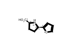 O=C(O)[C@@H]1CC[C@H](c2ccco2)N1